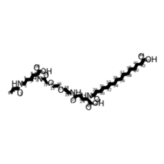 CCC(=O)NCCCCC(NC(=O)COCCOCCNC(=O)CCC(NC(=O)CCCCCCCCCCCCCCC(=O)O)C(=O)O)C(=O)O